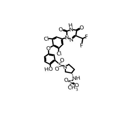 CS(=O)(=O)N[C@H]1CCN(S(=O)(=O)c2cc(Oc3c(Cl)cc(-n4nc(C(F)F)c(=O)[nH]c4=O)cc3Cl)ccc2O)C1